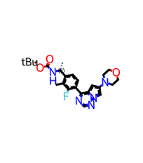 Cc1c([C@@H](C)NC(=O)OC(C)(C)C)ccc(-c2ncnn3cc(N4CCOCC4)cc23)c1F